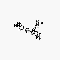 O=C(C1CC1)N1CC[C@@H](Cn2c(-c3ccc(-c4cnc5[nH]ncc5c4)cc3)nc3cc(C(F)(F)F)ccc32)C1